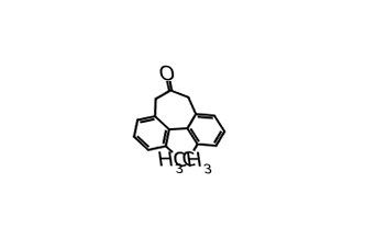 Cc1cccc2c1-c1c(C)cccc1CC(=O)C2